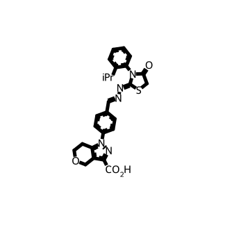 CC(C)c1ccccc1N1C(=O)CSC1=NN=Cc1ccc(-n2nc(C(=O)O)c3c2CCOC3)cc1